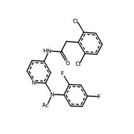 CC(=O)N(c1cc(NC(=O)Cc2c(Cl)cccc2Cl)ccn1)c1ccc(F)cc1F